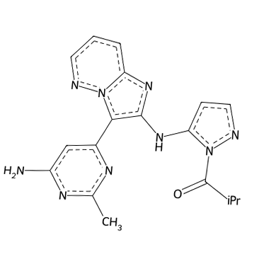 Cc1nc(N)cc(-c2c(Nc3ccnn3C(=O)C(C)C)nc3cccnn23)n1